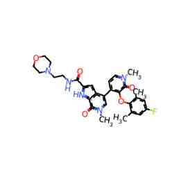 Cc1cc(F)cc(C)c1Oc1c(-c2cn(C)c(=O)c3[nH]c(C(=O)NCCN4CCOCC4)cc23)ccn(C)c1=O